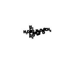 COC(=O)OC1=NN(C(=O)OC(C)(C)C)CC1